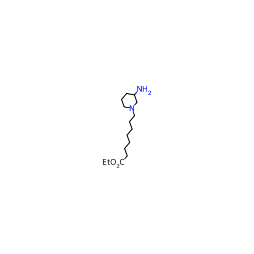 CCOC(=O)CCCCCCCN1CCCC(N)C1